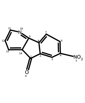 O=C1c2cc([N+](=O)[O-])ccc2-c2ncccc21